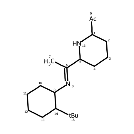 CC(=O)C1CCCC(/C(C)=N/C2CCCCC2C(C)(C)C)N1